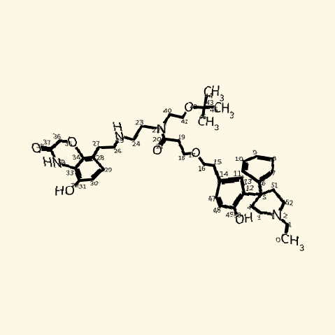 CCN1CCC(c2ccccc2)(c2cc(CCOCCC(=O)N(CCNCCc3ccc(O)c4c3OCC(=O)N4)CCOC(C)(C)C)ccc2O)CC1